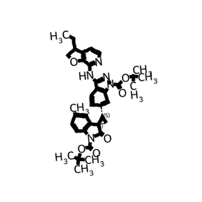 CCC1COc2c1ccnc2Nc1nn(C(=O)OC(C)(C)C)c2cc([C@@H]3C[C@@]34C(=O)N(C(=O)OC(C)(C)C)c3ccc(C)cc34)ccc12